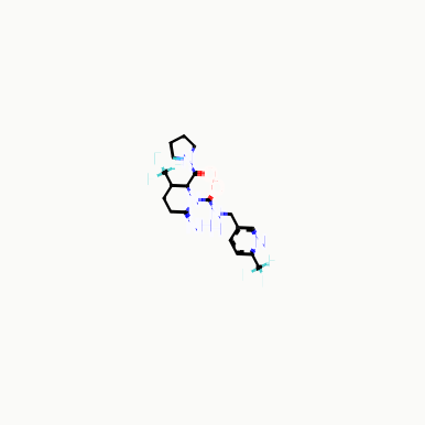 N=C1CCC(C(F)(F)F)C(C(=O)N2CCCC2)N1C(=O)NCc1ccc(C(F)(F)F)nc1